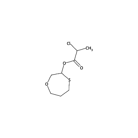 CC(Cl)C(=O)OC1COCCCS1